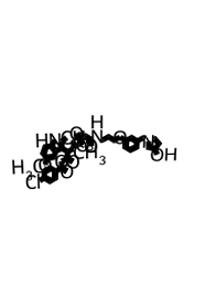 COc1ccc2[nH]c(C)c(C(C(=O)OC(=O)c3ccc(Cl)cc3)C(C)CS(=O)(=O)CC(=O)NCCCOc3cccc(CN4CCC(O)C4)c3)c2c1